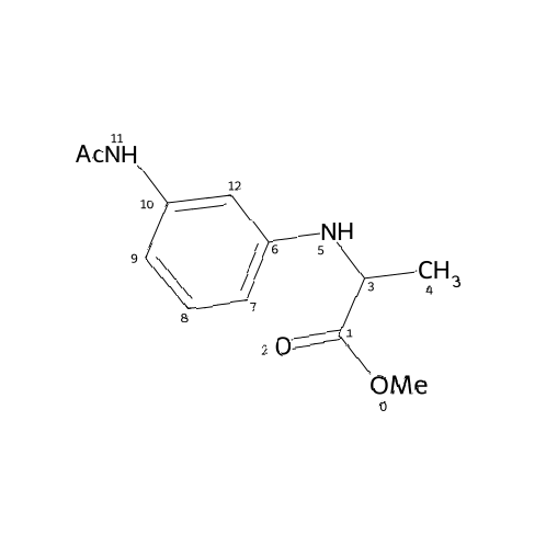 COC(=O)C(C)Nc1cccc(NC(C)=O)c1